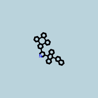 c1ccc2c(c1)-c1ccccc1-c1ccc(-c3cncc(-c4c5ccccc5c(-c5ccc6ccccc6c5)c5ccccc45)c3)cc1-c1ccccc1-2